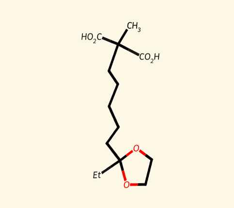 CCC1(CCCCCC(C)(C(=O)O)C(=O)O)OCCO1